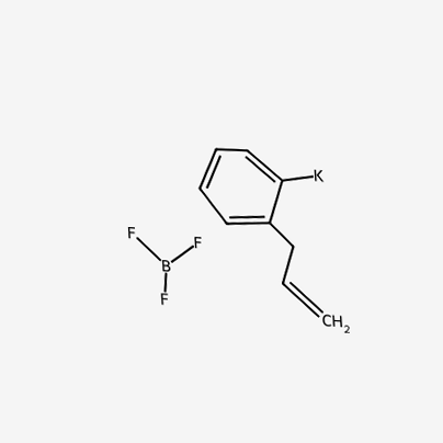 C=CCc1cccc[c]1[K].FB(F)F